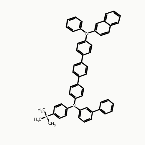 C[Si](C)(C)c1ccc(N(c2ccc(-c3ccc(-c4ccc(N(c5ccccc5)c5ccc6ccccc6c5)cc4)cc3)cc2)c2cccc(-c3ccccc3)c2)cc1